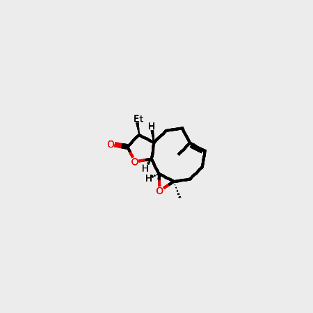 CC[C@@H]1C(=O)O[C@H]2[C@H]1CC/C(C)=C/CC[C@@]1(C)O[C@@H]21